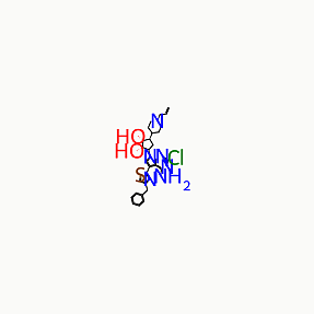 C=CCN1CCC([C@H]2C[C@@H](n3cc(-c4nc(Cc5ccccc5)cs4)c4c(N)nc(Cl)nc43)[C@H](O)[C@@H]2O)CC1